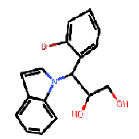 OCC(O)C(c1ccccc1Br)n1ccc2ccccc21